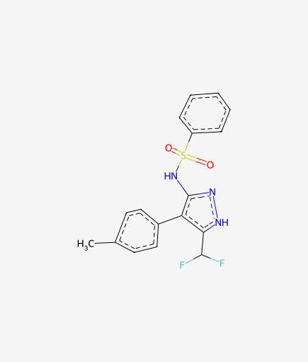 Cc1ccc(-c2c(NS(=O)(=O)c3ccccc3)n[nH]c2C(F)F)cc1